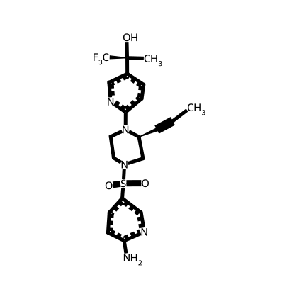 CC#C[C@H]1CN(S(=O)(=O)c2ccc(N)nc2)CCN1c1ccc([C@@](C)(O)C(F)(F)F)cn1